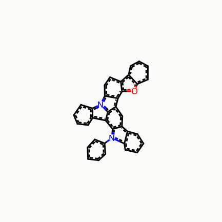 c1ccc(-n2c3ccccc3c3cc4c5c6oc7ccccc7c6ccc5n5c6ccccc6c(c32)c45)cc1